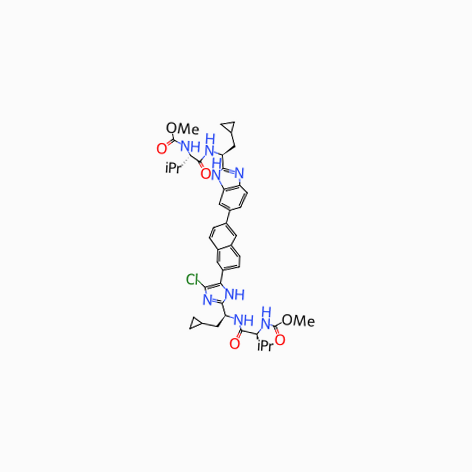 COC(=O)N[C@H](C(=O)N[C@@H](CC1CC1)c1nc(Cl)c(-c2ccc3cc(-c4ccc5nc([C@H](CC6CC6)NC(=O)[C@@H](NC(=O)OC)C(C)C)[nH]c5c4)ccc3c2)[nH]1)C(C)C